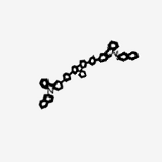 C1=c2c(n(-c3ccc4ccccc4c3)c3ccccc23)=CCC1c1ccc(-c2ccc3c(c2)C2(CCCC2)c2cc(-c4ccc(-c5ccc6c(c5)c5ccccc5n6-c5ccc6ccccc6c5)cc4)ccc2-3)cc1